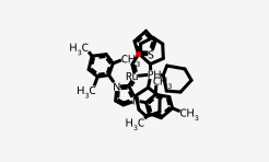 Cc1cc(C)c(-n2ccn(-c3c(C)cc(C)cc3C)[c]2=[Ru](=[CH]/c2cccs2)/[PH](C2CCCCC2)(C2CCCCC2)C2CCCCC2)c(C)c1